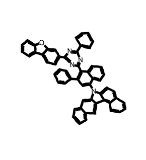 c1ccc(-c2nc(-c3ccc4c(c3)oc3ccccc34)nc(-c3c(-c4ccccc4)cc(-n4c5cc6ccccc6cc5c5c6ccccc6ccc54)c4ccccc34)n2)cc1